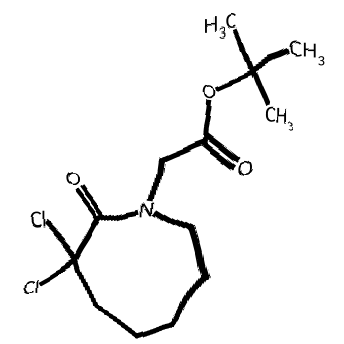 CC(C)(C)OC(=O)CN1CCCCCC(Cl)(Cl)C1=O